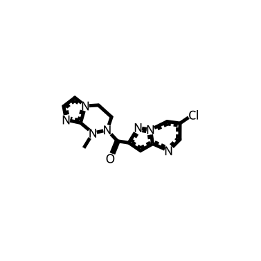 CN1c2nccn2CCN1C(=O)c1cc2ncc(Cl)cn2n1